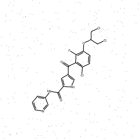 O=C(Nc1cccnc1)c1cc(C(=O)c2c(Cl)ccc(OC(CCl)CCl)c2F)c[nH]1